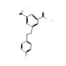 O=C(O)c1cc(CCc2ccc(Br)cc2)cc(C(=O)O)c1